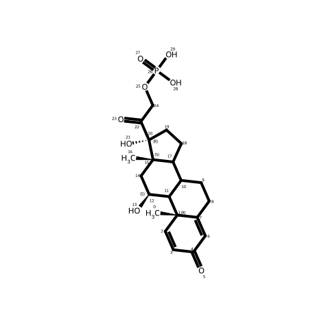 C[C@]12C=CC(=O)C=C1CCC1C2[C@@H](O)C[C@@]2(C)C1CC[C@]2(O)C(=O)COP(=O)(O)O